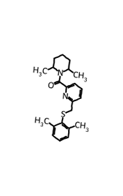 Cc1cccc(C)c1SCc1cccc(C(=O)N2C(C)CCCC2C)n1